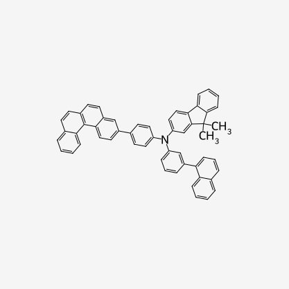 CC1(C)c2ccccc2-c2ccc(N(c3ccc(-c4ccc5c(ccc6ccc7ccccc7c65)c4)cc3)c3cccc(-c4cccc5ccccc45)c3)cc21